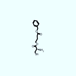 CC(C)C[C@H](N)C(=O)OCCCC(=O)OCc1ccccc1